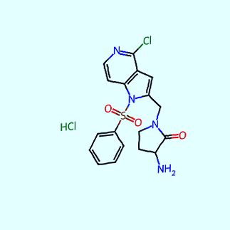 Cl.NC1CCN(Cc2cc3c(Cl)nccc3n2S(=O)(=O)c2ccccc2)C1=O